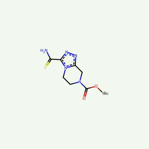 CC(C)(C)OC(=O)N1CCn2c(nnc2C(N)=S)C1